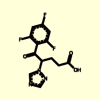 O=C(O)CCC(C(=O)c1c(F)cc(F)cc1F)n1cncn1